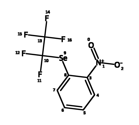 O=[N+]([O-])c1ccccc1[Se]C(F)(F)C(F)(F)F